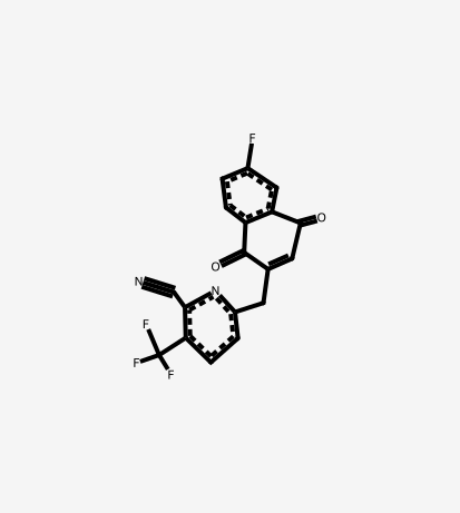 N#Cc1nc(CC2=CC(=O)c3cc(F)ccc3C2=O)ccc1C(F)(F)F